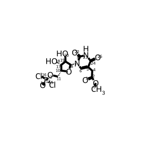 COC(=O)Cc1cn([C@@H]2O[C@H](COP(=O)(Cl)Cl)[C@H](O)C2O)c(=O)[nH]c1=O